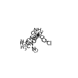 CC(C)N(CCN1CCCCC1)C(=O)[C@H](C)N1CC[C@H](N(CC(N)=O)S(=O)(=O)c2ccc3cc(Cl)ccc3c2)C1=O